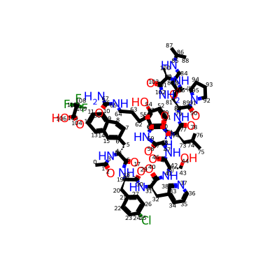 CC(=O)N[C@H](Cc1ccc2ccccc2c1)C(=O)N[C@H](Cc1ccc(Cl)cc1)C(=O)N[C@H](Cc1cccnc1)C(=O)N[C@@H](CO)C(=O)N[C@@H](Cc1ccc(O)cc1)C(=O)N[C@H](CCCCNC(N)=O)C(=O)N[C@H](CC(C)C)C(=O)N[C@@H](CCCCNC(C)C)C(=O)N1CCC[C@H]1C(=O)N[C@H](C)C(N)=O.O=C(O)C(F)(F)F